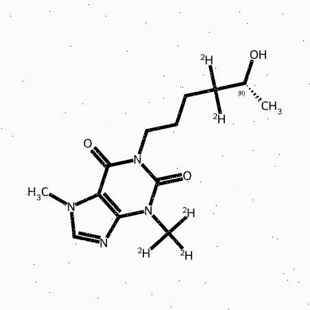 [2H]C([2H])(CCCn1c(=O)c2c(ncn2C)n(C([2H])([2H])[2H])c1=O)[C@@H](C)O